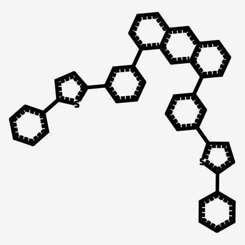 c1ccc(-c2ccc(-c3cccc(-c4cccc5cc6cccc(-c7cccc(-c8ccc(-c9ccccc9)s8)c7)c6cc45)c3)s2)cc1